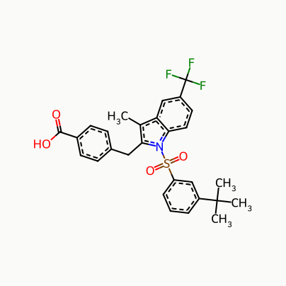 Cc1c(Cc2ccc(C(=O)O)cc2)n(S(=O)(=O)c2cccc(C(C)(C)C)c2)c2ccc(C(F)(F)F)cc12